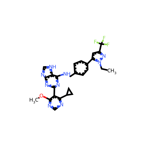 CCn1nc(C(F)(F)F)cc1-c1ccc(CNc2nc(-c3c(OC)ncnc3C3CC3)nc3nc[nH]c23)cc1